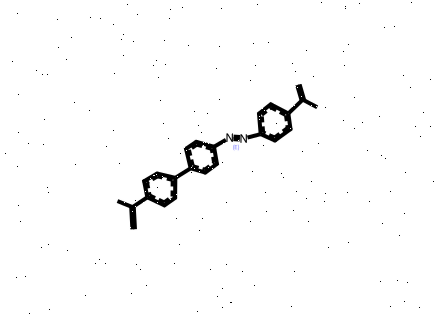 C=C(C)c1ccc(/N=N/c2ccc(-c3ccc(C(=C)C)cc3)cc2)cc1